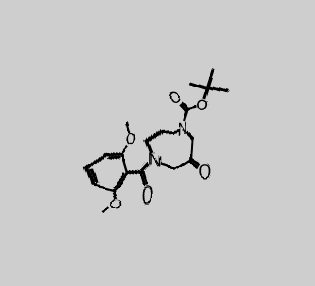 COc1cccc(OC)c1C(=O)N1CCN(C(=O)OC(C)(C)C)CC(=O)C1